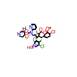 COc1ccc([C@H](Cc2c(Cl)c[n+](O)cc2Cl)c2cc(CN(C(=O)O[C@H]3CN4CCC3CC4)c3ccccn3)sc2C(=O)[O-])cc1OC